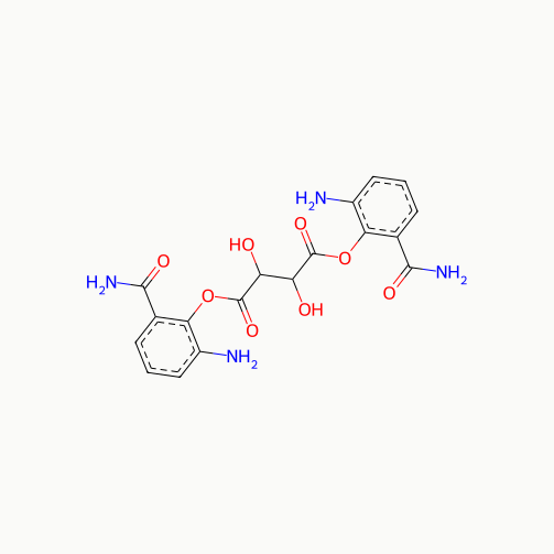 NC(=O)c1cccc(N)c1OC(=O)C(O)C(O)C(=O)Oc1c(N)cccc1C(N)=O